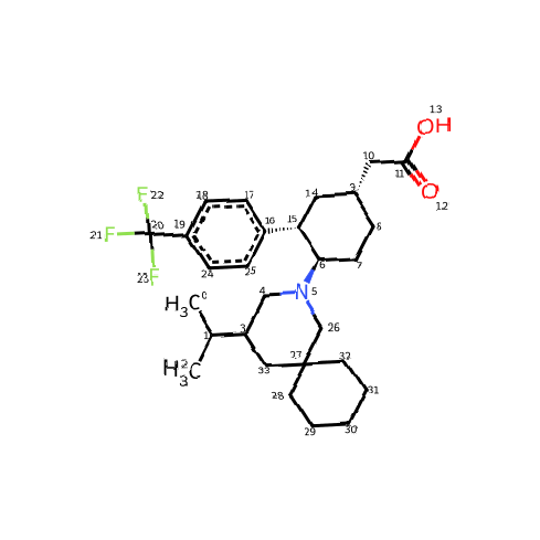 CC(C)C1CN([C@@H]2CC[C@@H](CC(=O)O)C[C@H]2c2ccc(C(F)(F)F)cc2)CC2(CCCCC2)C1